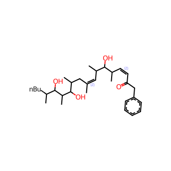 CCCCC(C)C(O)C(C)C(O)C(C)C/C(C)=C\C(C)C(O)C(C)/C=C\C(=O)Cc1ccccc1